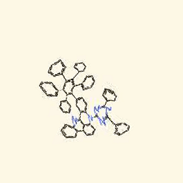 c1ccc(-c2nc(-c3ccccc3)nc(N3c4ccc(-c5c(-c6ccccc6)c(-c6ccccc6)c(-c6ccccc6)c(-c6ccccc6)c5-c5ccccc5)cc4-c4nc5ccccc5c5cccc3c45)n2)cc1